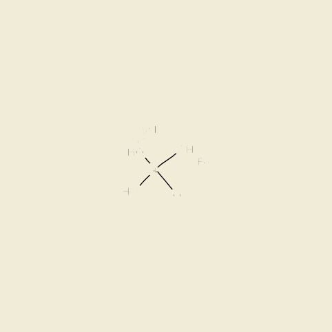 O[Si](O)(O)O.[Fe].[SbH3]